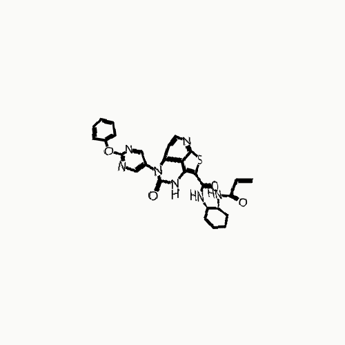 C=CC(=O)N[C@H]1CCCC[C@H]1NC(=O)c1sc2nccc3c2c1NC(=O)N3c1cnc(Oc2ccccc2)nc1